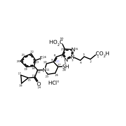 Cl.O=C(O)CCCn1nc(/C=C2/CN(C(C(=O)C3CC3)c3ccccc3F)CCC2S)c(C(=O)O)n1